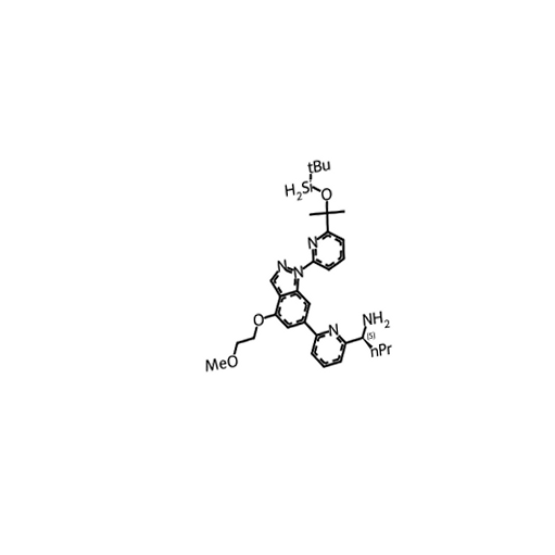 CCC[C@H](N)c1cccc(-c2cc(OCCOC)c3cnn(-c4cccc(C(C)(C)O[SiH2]C(C)(C)C)n4)c3c2)n1